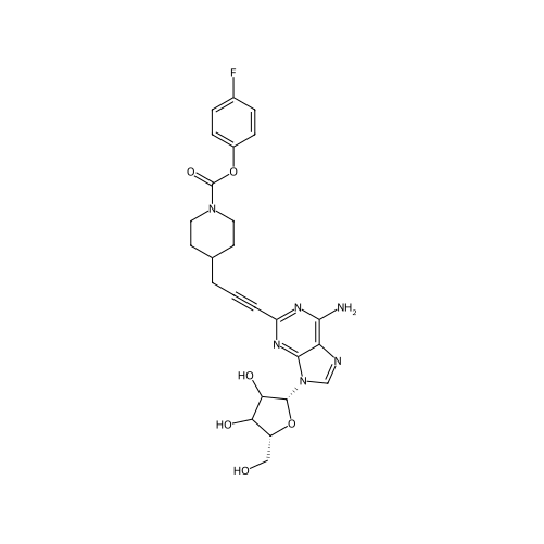 Nc1nc(C#CCC2CCN(C(=O)Oc3ccc(F)cc3)CC2)nc2c1ncn2[C@@H]1O[C@H](CO)C(O)C1O